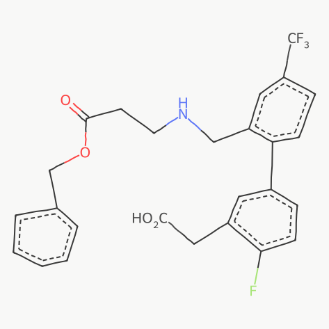 O=C(O)Cc1cc(-c2ccc(C(F)(F)F)cc2CNCCC(=O)OCc2ccccc2)ccc1F